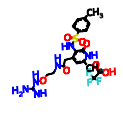 Cc1ccc(S(=O)(=O)Nc2c(CC(=O)NCCONC(=N)N)cc(C)[nH]c2=O)cc1.O=C(O)C(F)(F)F